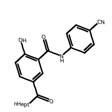 CCCCCCCC(=O)c1ccc(O)c(C(=O)Nc2ccc(C#N)cc2)c1